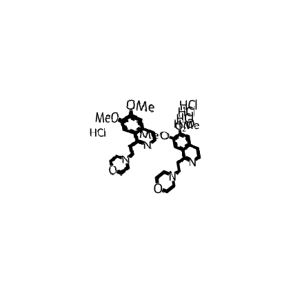 COc1cc2c(cc1OC)C(CCN1CCOCC1)=NCC2.COc1cc2c(cc1OC)C(CCN1CCOCC1)=NCC2.Cl.Cl.Cl.Cl.O